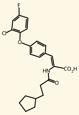 O=C(CCC1CCCC1)NC(=Cc1ccc(Oc2ccc(F)cc2Cl)cc1)C(=O)O